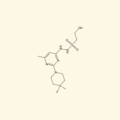 Cc1cc(NNS(=O)(=O)CCO)nc(N2CCC(C)(F)CC2)n1